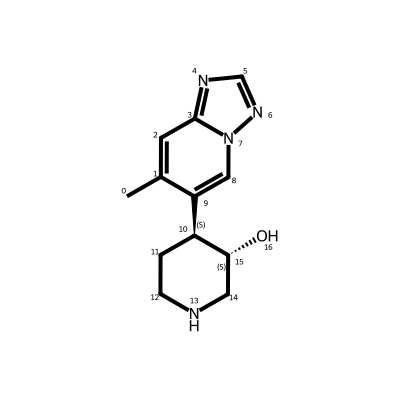 Cc1cc2ncnn2cc1[C@@H]1CCNC[C@H]1O